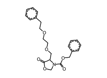 O=C1OCN(C(=O)OCc2ccccc2)C1COCCOCCc1ccccc1